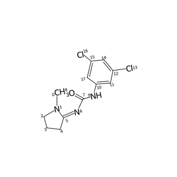 CN1CCCC1=NC(=O)Nc1cc(Cl)cc(Cl)c1